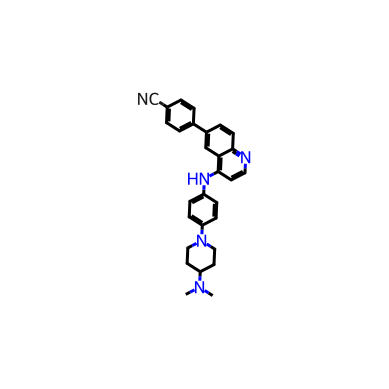 CN(C)C1CCN(c2ccc(Nc3ccnc4ccc(-c5ccc(C#N)cc5)cc34)cc2)CC1